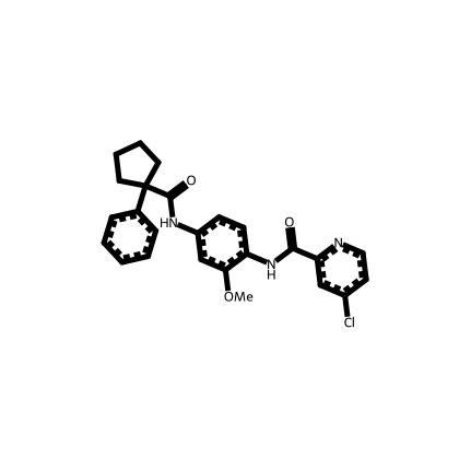 COc1cc(NC(=O)C2(c3ccccc3)CCCC2)ccc1NC(=O)c1cc(Cl)ccn1